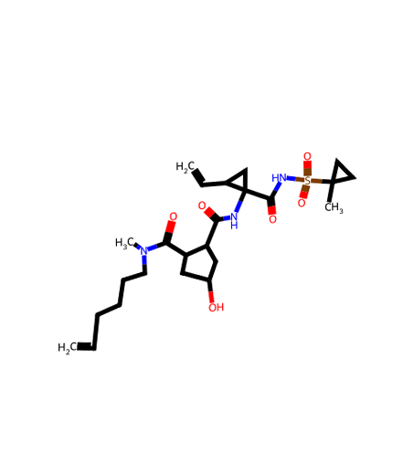 C=CCCCCN(C)C(=O)C1CC(O)CC1C(=O)NC1(C(=O)NS(=O)(=O)C2(C)CC2)CC1C=C